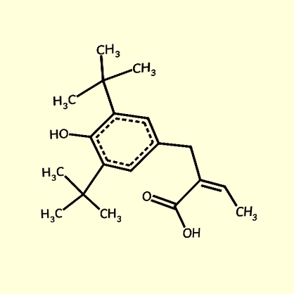 CC=C(Cc1cc(C(C)(C)C)c(O)c(C(C)(C)C)c1)C(=O)O